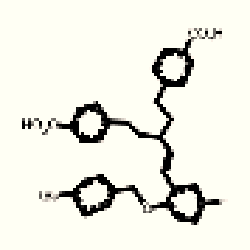 CC(C)(C)c1ccc(COc2ccc(F)cc2/C=C/C(CCc2ccc(C(=O)O)cc2)CCc2ccc(C(=O)O)cc2)cc1